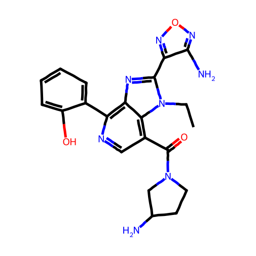 CCn1c(-c2nonc2N)nc2c(-c3ccccc3O)ncc(C(=O)N3CCC(N)C3)c21